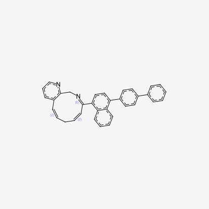 C1=C\C(c2ccc(-c3ccc(-c4ccccc4)cc3)c3ccccc23)=N/Cc2ncccc2/C=C\C/1